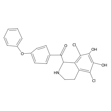 O=C(c1ccc(Oc2ccccc2)cc1)C1NCCc2c(Cl)c(O)c(O)c(Cl)c21